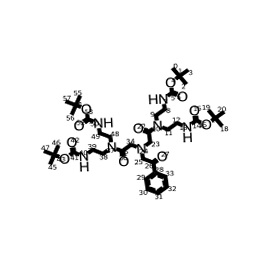 CC(C)(C)OC(=O)NCCN(CCNC(=O)OC(C)(C)C)C(=O)CN(CC(=O)c1ccccc1)CC(=O)N(CCNC(=O)OC(C)(C)C)CCNC(=O)OC(C)(C)C